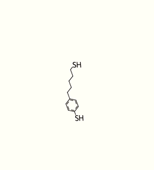 SCCCCCc1ccc(S)cc1